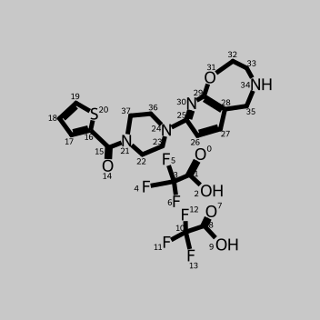 O=C(O)C(F)(F)F.O=C(O)C(F)(F)F.O=C(c1cccs1)N1CCN(c2ccc3c(n2)OCCNC3)CC1